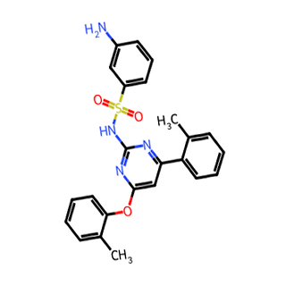 Cc1ccccc1Oc1cc(-c2ccccc2C)nc(NS(=O)(=O)c2cccc(N)c2)n1